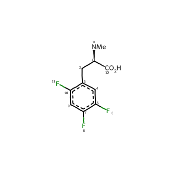 CN[C@H](Cc1cc(F)c(F)cc1F)C(=O)O